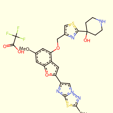 COc1cc(OCc2csc(C3(O)CCNCC3)n2)c2cc(-c3cn4nc(OC)sc4n3)oc2c1.O=C(O)C(F)(F)F